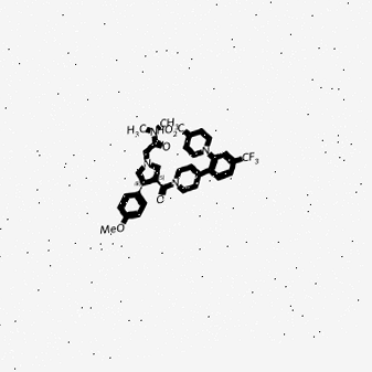 COc1ccc([C@@H]2CN(CC(=O)N(C)C)C[C@H]2C(=O)N2CCC(c3ccc(C(F)(F)F)cc3N3CCC(C(=O)O)CC3)CC2)cc1